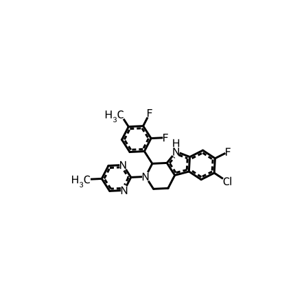 Cc1cnc(N2CCc3c([nH]c4cc(F)c(Cl)cc34)C2c2ccc(C)c(F)c2F)nc1